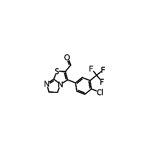 O=CC1=C(c2ccc(Cl)c(C(F)(F)F)c2)N2CCN=C2S1